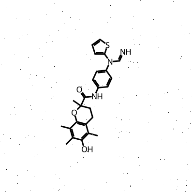 Cc1c(C)c2c(c(C)c1O)CCC(C)(C(=O)Nc1ccc(N(C=N)c3cccs3)cc1)O2